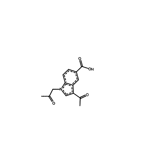 CC(=O)Cn1cc(C(C)=O)c2cc(C(=O)O)ccc21